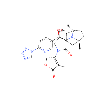 COC1CN(C2=C(C)C(=O)OC2)C(=O)C12C[C@H]1CC[C@H](C2)N1C[C@H](O)c1ccc(-n2cnnn2)nc1